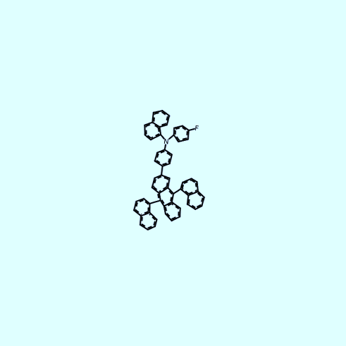 Fc1ccc(N(c2ccc(-c3ccc4c(-c5cccc6ccccc56)c5ccccc5c(-c5cccc6ccccc56)c4c3)cc2)c2cccc3ccccc23)cc1